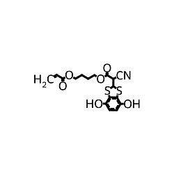 C=CC(=O)OCCCCOC(=O)C(C#N)C1Sc2c(O)ccc(O)c2S1